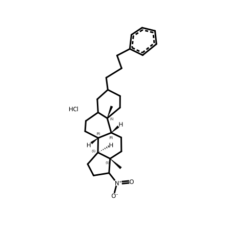 C[C@]12CCC(CCCc3ccccc3)CC1CC[C@@H]1[C@H]2CC[C@]2(C)C([N+](=O)[O-])CC[C@@H]12.Cl